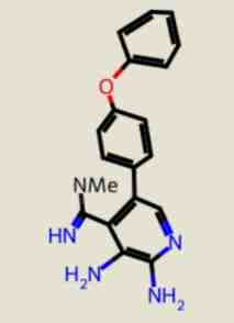 CNC(=N)c1c(-c2ccc(Oc3ccccc3)cc2)cnc(N)c1N